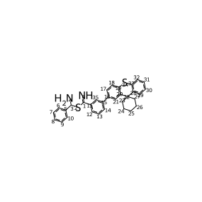 N=C(SC(N)c1ccccc1)c1cccc(-c2ccc3c(c2)C2(CCCCC2)c2ccccc2S3)c1